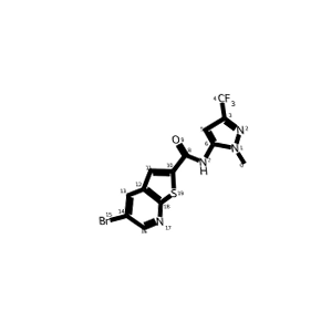 Cn1nc(C(F)(F)F)cc1NC(=O)c1cc2cc(Br)cnc2s1